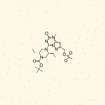 CC[C@@H]1CN(c2nc(=O)n(C)c3cc(COS(C)(=O)=O)nn23)[C@@H](CC)CN1C(=O)OC(C)(C)C